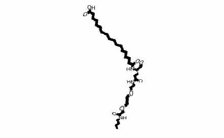 CCCCNC(=O)COCCOCCNC(=O)CC[C@@H](C=O)NC(=O)CCCCCCCCCCCCCCCCC(=O)O